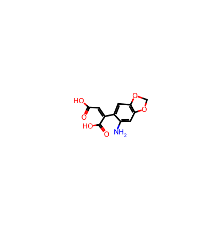 Nc1cc2c(cc1C(=CC(=O)O)C(=O)O)OCO2